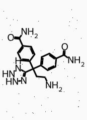 NCCC(C1=NNNN1)(c1ccc(C(N)=O)cc1)c1ccc(C(N)=O)cc1